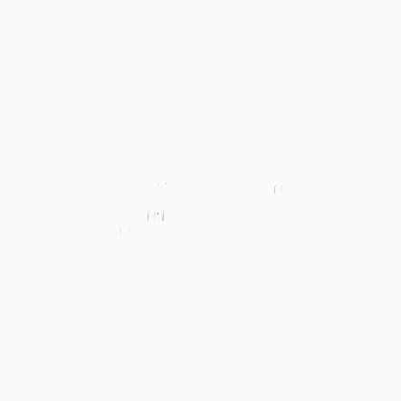 CCOC(=O)C(CNC(C)CF)C(=O)c1cc(F)c(F)c(OC)c1F